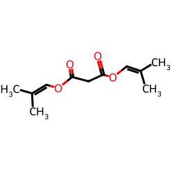 CC(C)=COC(=O)CC(=O)OC=C(C)C